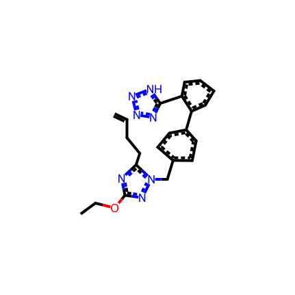 C=CCCc1nc(OCC)nn1Cc1ccc(-c2ccccc2-c2nnn[nH]2)cc1